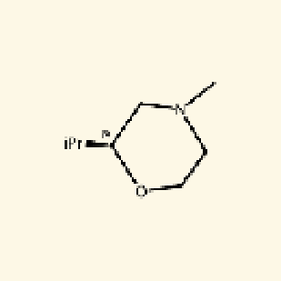 CC(C)[C@H]1CN(C)CCO1